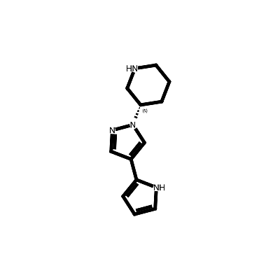 c1c[nH]c(-c2cnn([C@H]3CCCNC3)c2)c1